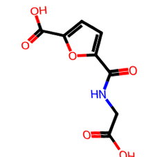 O=C(O)CNC(=O)c1ccc(C(=O)O)o1